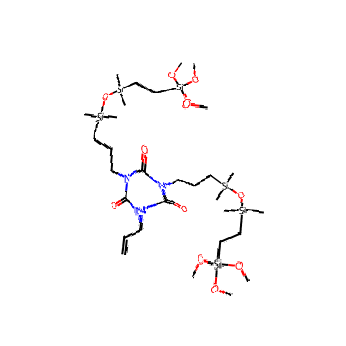 C=CCn1c(=O)n(CCC[Si](C)(C)O[Si](C)(C)CC[Si](OC)(OC)OC)c(=O)n(CCC[Si](C)(C)O[Si](C)(C)CC[Si](OC)(OC)OC)c1=O